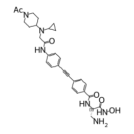 CC(=O)N1CCC(N(CC(=O)Nc2ccc(C#Cc3ccc(C(=O)N[C@@H](CN)C(=O)NO)cc3)cc2)C2CC2)CC1